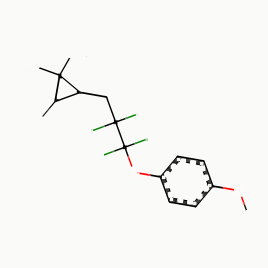 CCOC(=O)C1C(CC(Cl)(Cl)C(F)(F)Oc2ccc(OCC)cc2)C1(C)C